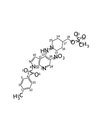 Cc1ccc(S(=O)(=O)n2ccc3c(NN4CCC(COS(C)(=O)=O)CC4)c([N+](=O)[O-])cnc32)cc1